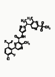 Cc1nc(S(C)(=O)=O)ncc1C(C)n1cc(NC(=O)c2nc(-c3c(C(F)F)ccc(Cl)c3F)cnc2C)cn1